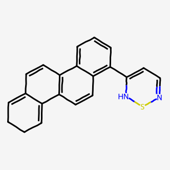 C1=NSNC(c2cccc3c2ccc2c4c(ccc23)=CCCC=4)=C1